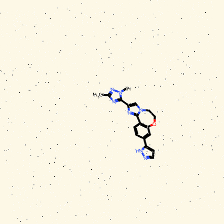 Cc1nc(-c2cn3c(n2)-c2ccc(-c4ccn[nH]4)cc2OCC3)n(C(C)C)n1